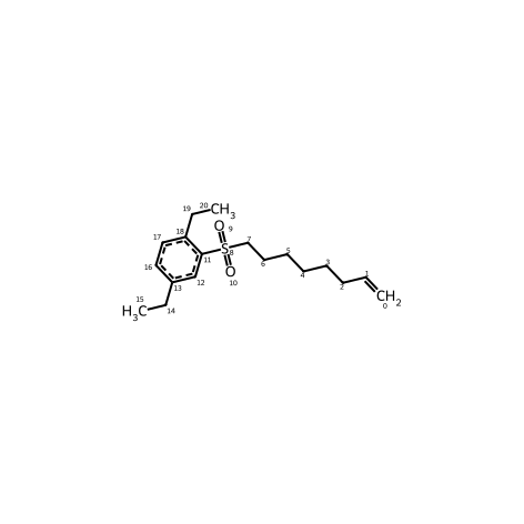 C=CCCCCCCS(=O)(=O)c1cc(CC)ccc1CC